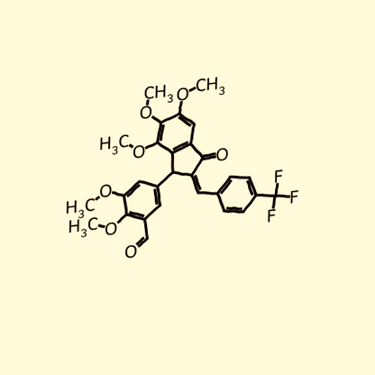 COc1cc(C2/C(=C/c3ccc(C(F)(F)F)cc3)C(=O)c3cc(OC)c(OC)c(OC)c32)cc(C=O)c1OC